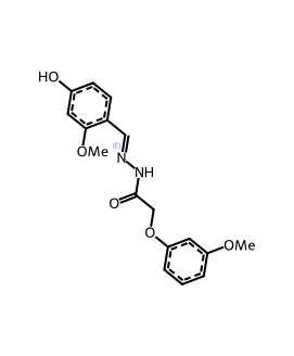 COc1cccc(OCC(=O)N/N=C/c2ccc(O)cc2OC)c1